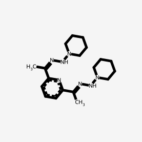 CC(=NNN1CCCCC1)c1cccc(C(C)=NNN2CCCCC2)n1